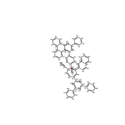 N#Cc1ccc(-c2nc(-c3ccccc3)nc(-c3ccccc3-c3ccccc3)n2)cc1-c1c(C2=CC(C#N)C=CC(c3nc(-c4ccccc4)nc(-c4ccccc4)n3)=C2)ccc2ccccc12